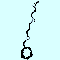 COCCOCCCOCc1ccccc1